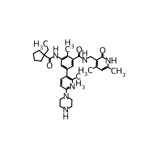 CCC1(C(=O)Nc2cc(-c3ccc(N4CCNCC4)nc3C)cc(C(=O)NCc3c(C)cc(C)[nH]c3=O)c2C)CCCC1